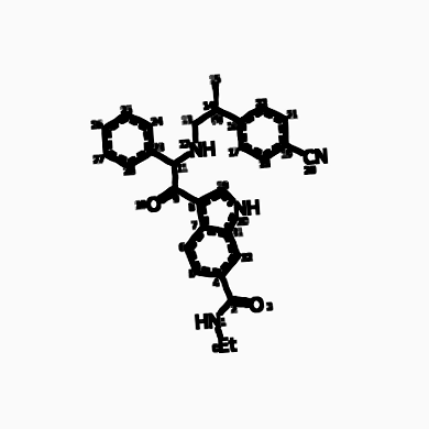 CCNC(=O)c1ccc2c(C(=O)C(NC[C@@H](C)c3ccc(C#N)cc3)c3ccccc3)c[nH]c2c1